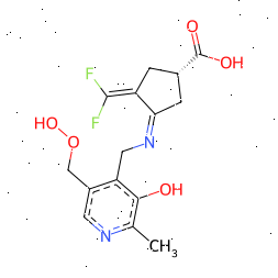 Cc1ncc(COO)c(C/N=C2/C[C@@H](C(=O)O)CC2=C(F)F)c1O